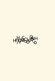 CCCCC1(C(N)CC)CCC(Oc2cc3c(Cc4ccccc4)c[nH]c(=O)c3cc2Cl)CC1